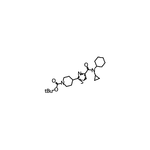 CC(C)(C)OC(=O)N1CCC(c2nc(C(=O)N(C3CCCCC3)C3CC3)cs2)CC1